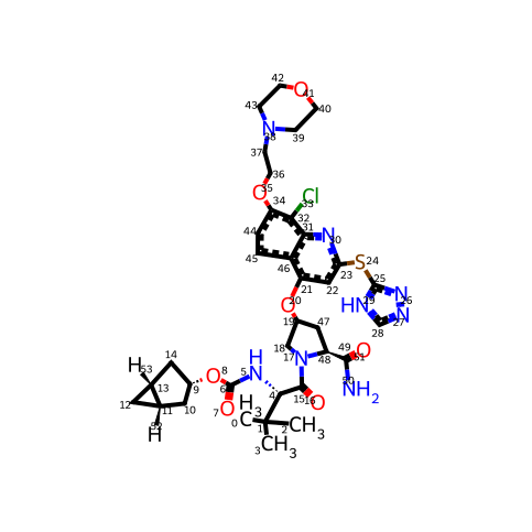 CC(C)(C)[C@H](NC(=O)O[C@@H]1C[C@@H]2C[C@@H]2C1)C(=O)N1CC(Oc2cc(Sc3nnc[nH]3)nc3c(Cl)c(OCCN4CCOCC4)ccc23)C[C@H]1C(N)=O